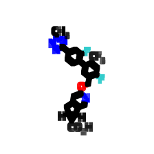 Cn1nnc(-c2ccc(-c3cc(COc4cc5c(cn4)[C@H]4[C@@H](C5)[C@@H]4C(=O)O)c(F)cc3C(F)(F)F)c(F)c2)n1